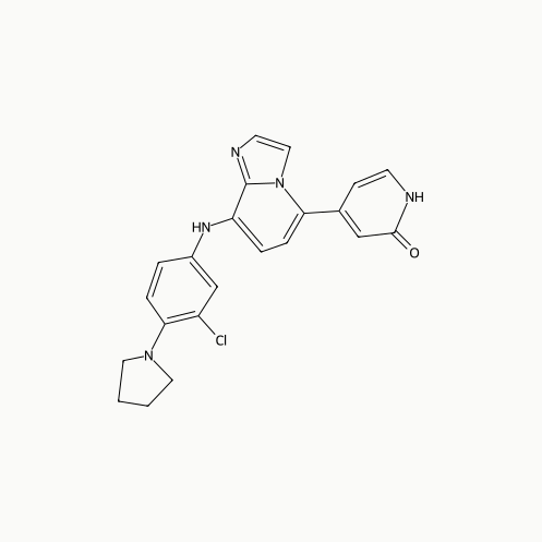 O=c1cc(-c2ccc(Nc3ccc(N4CCCC4)c(Cl)c3)c3nccn23)cc[nH]1